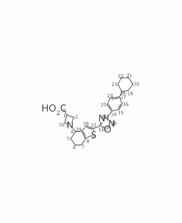 O=C(O)C1CN(C2CCCc3sc(-c4nc(-c5ccc(C6CCCCC6)cc5)no4)cc32)C1